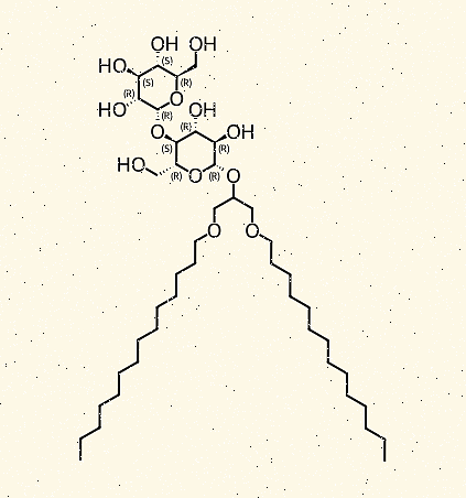 CCCCCCCCCCCCCCOCC(COCCCCCCCCCCCCCC)O[C@@H]1O[C@H](CO)[C@@H](O[C@H]2O[C@H](CO)[C@@H](O)[C@H](O)[C@H]2O)[C@H](O)[C@H]1O